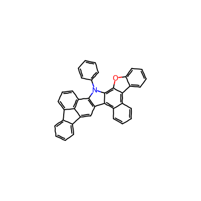 c1ccc(-n2c3c4cccc5c4c(cc3c3c4ccccc4c4c6ccccc6oc4c32)-c2ccccc2-5)cc1